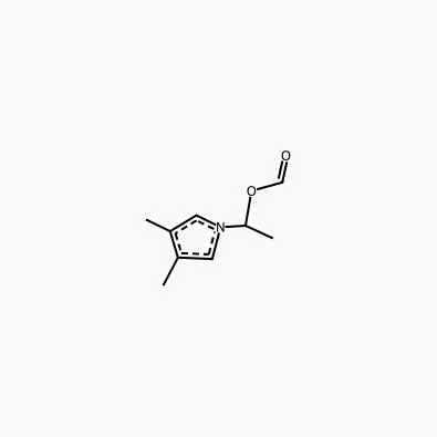 Cc1cn(C(C)OC=O)cc1C